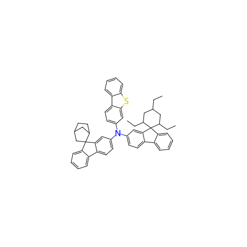 CCC1CC(CC)C2(c3ccccc3-c3ccc(N(c4ccc5c(c4)C4(CC6CCC4C6)c4ccccc4-5)c4ccc5c(c4)sc4ccccc45)cc32)C(CC)C1